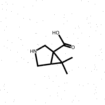 CC1(C)C2CNCC21C(=O)O